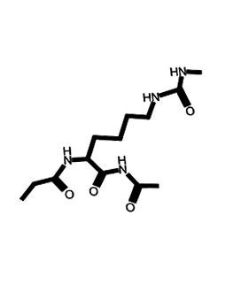 CCC(=O)NC(CCCCNC(=O)NC)C(=O)NC(C)=O